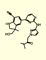 CN(C)C(=O)Cn1ccc(Nc2nccc(-c3cc(C#N)c4c(c3)C(C)(CO)CN4)n2)n1